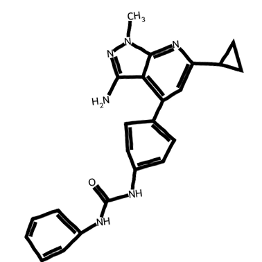 Cn1nc(N)c2c(-c3ccc(NC(=O)Nc4ccccc4)cc3)cc(C3CC3)nc21